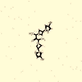 CC(C(=O)C(C)N1CC(n2cc(Br)cn2)C1)N1CC(n2cc(Br)cn2)C1